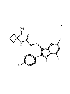 O=C(CCc1c(-c2ccc(F)cc2)[nH]c2c(F)cc(F)cc12)NC1(CO)CCC1